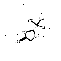 O=C1[CH]O[C@@H](C(Cl)(Cl)Cl)O1